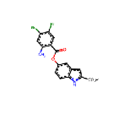 Nc1cc(Br)c(Br)cc1C(=O)Oc1ccc2[nH]c(C(=O)O)cc2c1